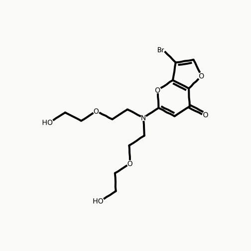 O=c1cc(N(CCOCCO)CCOCCO)oc2c(Br)coc12